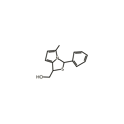 Cc1ccc2n1C(c1ccccc1)SC2CO